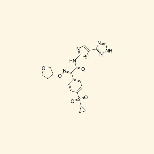 O=C(Nc1ncc(-c2nc[nH]n2)s1)/C(=N/O[C@@H]1CCOC1)c1ccc(S(=O)(=O)C2CC2)cc1